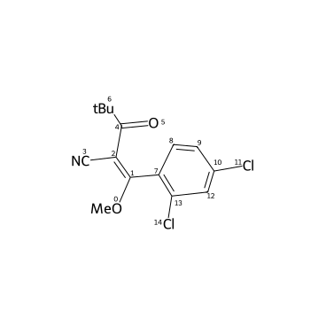 COC(=C(C#N)C(=O)C(C)(C)C)c1ccc(Cl)cc1Cl